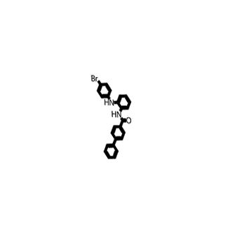 O=C(Nc1ccccc1Nc1ccc(Br)cc1)c1ccc(-c2ccccc2)cc1